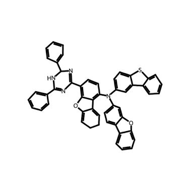 C1=c2oc3c(C4=NC(c5ccccc5)NC(c5ccccc5)=N4)ccc(N(c4ccc5c(c4)oc4ccccc45)c4ccc5sc6ccccc6c5c4)c3c2=CCC1